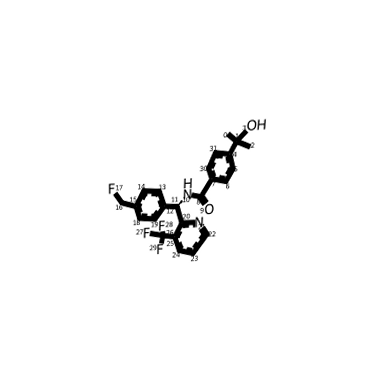 CC(C)(O)c1ccc(C(=O)N[C@@H](c2ccc(CF)cc2)c2ncccc2C(F)(F)F)cc1